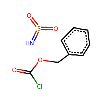 N=S(=O)=O.O=C(Cl)OCc1ccccc1